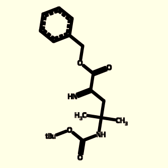 CC(C)(CC(=N)C(=O)OCc1ccccc1)NC(=O)OC(C)(C)C